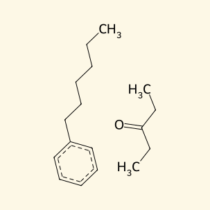 CCC(=O)CC.CCCCCCc1ccccc1